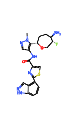 Cn1ncc(NC(=O)c2csc(-c3cccc4[nH]ncc34)n2)c1[C@@H]1CC[C@@H](N)[C@H](F)CO1